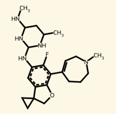 CNC1CC(C)NC(Nc2cc3c(c(C4=CCN(C)CCC4)c2F)OCC32CC2)N1